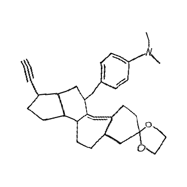 C#CC1CCC2C3CCC4CC5(CCC4=C3C(c3ccc(N(C)C)cc3)CC12)OCCO5